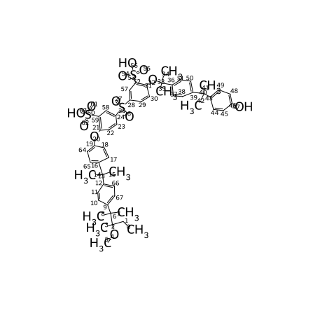 CCC(C)(OC)C(C)(C)c1ccc(C(C)(C)c2ccc(Oc3ccc(S(=O)(=O)c4ccc(OC(C)(C)c5ccc(C(C)(C)c6ccc(O)cc6)cc5)c(S(=O)(=O)O)c4)cc3S(=O)(=O)O)cc2)cc1